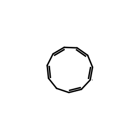 [C]1=C\C=C/C=C\C=C/C\C=C/1